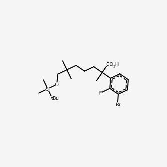 CC(C)(CCCC(C)(C(=O)O)c1cccc(Br)c1F)CO[Si](C)(C)C(C)(C)C